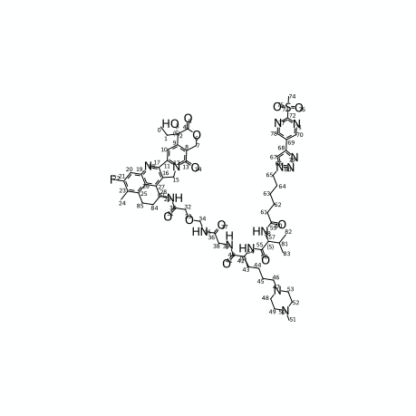 CC[C@@]1(O)C(=O)OCc2c1cc1n(c2=O)Cc2c-1nc1cc(F)c(C)c3c1c2[C@@H](NC(=O)COCNC(=O)CNC(=O)[C@H](CCCCN1CCN(C)CC1)NC(=O)[C@@H](NC(=O)CCCCCn1cc(-c2cnc(S(C)(=O)=O)nc2)nn1)C(C)C)CC3